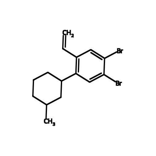 C=Cc1cc(Br)c(Br)cc1C1CCCC(C)C1